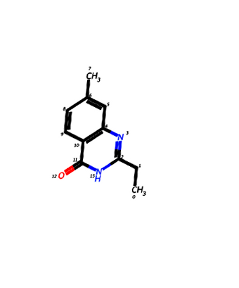 CCc1nc2cc(C)ccc2c(=O)[nH]1